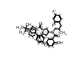 CC(Cc1ccc(F)cc1F)CN(C(=O)c1ccccc1O)[C@H]1C[C@@H](C(=O)N2CCNCC2)N(C(=O)[C@@H]2CN(C(C)(C)C)C[C@H]2c2ccc(Cl)cc2)C1